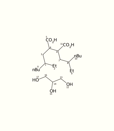 CCCCC(CC)CC(C(=O)O)C(CC(CC)CCCC)C(=O)O.OCC(O)CO